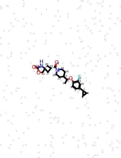 CC(Oc1ccc(C2CC2)cc1F)C1CCN(C(=O)[C@H]2C[C@@]3(COC(=O)N3)C2)CC1